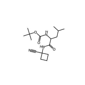 CC(C)CC(NC(=O)OC(C)(C)C)C(=O)NC1(C#N)CCC1